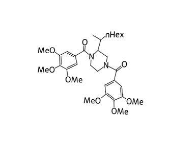 CCCCCCC(C)C1CN(C(=O)c2cc(OC)c(OC)c(OC)c2)CCN1C(=O)c1cc(OC)c(OC)c(OC)c1